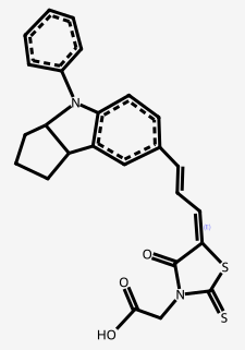 O=C(O)CN1C(=O)/C(=C\C=Cc2ccc3c(c2)C2CCCC2N3c2ccccc2)SC1=S